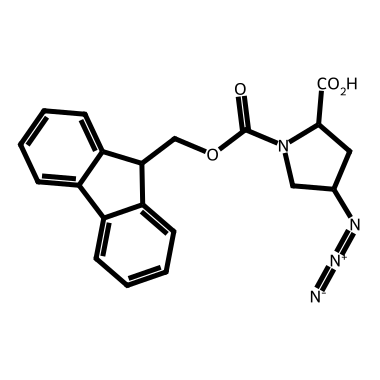 [N-]=[N+]=NC1CC(C(=O)O)N(C(=O)OCC2c3ccccc3-c3ccccc32)C1